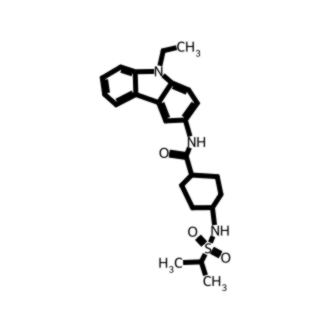 CCn1c2ccccc2c2cc(NC(=O)C3CCC(NS(=O)(=O)C(C)C)CC3)ccc21